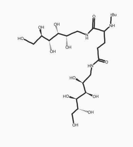 CC(C)(C)NC(CCC(=O)NC[C@H](O)[C@@H](O)[C@H](O)[C@H](O)CO)C(=O)NC[C@H](O)[C@@H](O)[C@H](O)[C@H](O)CO